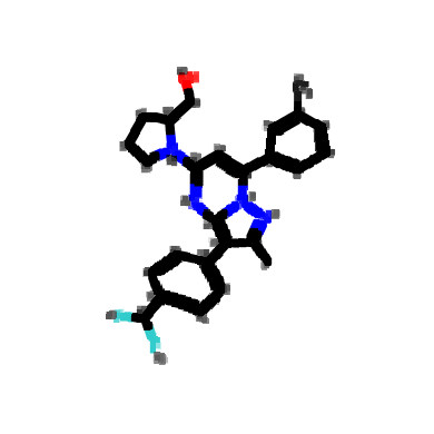 Cc1nn2c(-c3cccc(C(F)(F)F)c3)cc(N3CCCC3CO)nc2c1-c1ccc(C(F)F)cc1